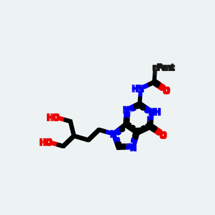 CCCCCC(=O)Nc1nc2c(ncn2CCC(CO)CO)c(=O)[nH]1